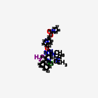 CN(CC1(N(C)C)CCC1)c1nc(OC[C@]23CCCN2[C@@H](COC(=O)N2CCCC2)CC3)nc2c(P)c(-c3cccc4cccc(Cl)c34)ncc12